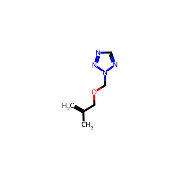 C=C(C)COCn1ncnn1